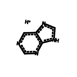 [H+].c1ncc2nc[nH]c2n1